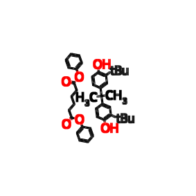 CC(C)(C)c1cc(C(C)(C)c2ccc(O)c(C(C)(C)C)c2)ccc1O.O=C(CCCCC(=O)Oc1ccccc1)Oc1ccccc1